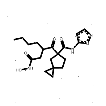 CCCCC(CC(=O)NO)C(=O)C1(C(=O)Nc2ccno2)CCC2(CC2)C1